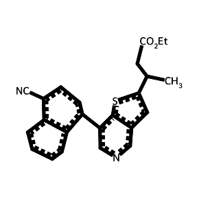 CCOC(=O)CC(C)c1cc2cncc(-c3ccc(C#N)c4ccccc34)c2s1